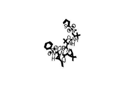 C=CC1C[C@]1(NC(=O)C1C2C(CN1C(=O)C(NC(=O)NC(CN(C)S(=O)(=O)c1cccs1)C(C)(C)C)C(C)(C)C)C2(C)C)C(=O)NS(=O)(=O)c1ccccc1